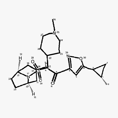 C[C@H]1CC1c1cc(C(=O)NC2C[C@H]3CC[C@@H](C2)N3S(=O)(=O)CC2CCN(C)CC2)no1